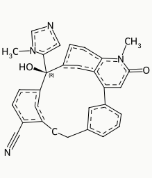 Cn1cncc1[C@@]1(O)c2ccc(C#N)c(c2)CCc2cccc(c2)-c2cc(=O)n(C)c3ccc1cc23